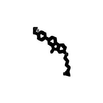 CC1c2cc(OCCCCC3CO3)ccc2-c2ccc(-c3ccc(OC(F)(F)F)cc3)cc21